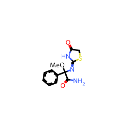 COC(N=C1NC(=O)CS1)(C(N)=O)c1ccccc1